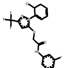 O=C(COc1cc(C(F)(F)F)nn1C1=CC=CCC1Cl)Nc1cccc(F)c1